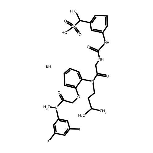 CC(C)CCN(C(=O)CNC(=O)Nc1cccc(C(C)S(=O)(=O)O)c1)c1ccccc1OCC(=O)N(C)c1cc(F)cc(F)c1.[KH]